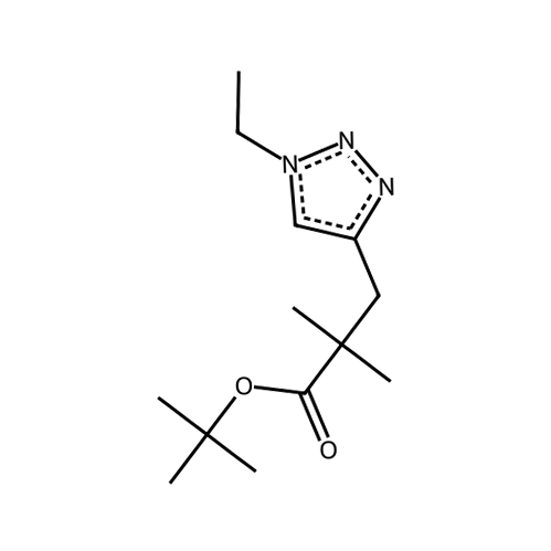 CCn1cc(CC(C)(C)C(=O)OC(C)(C)C)nn1